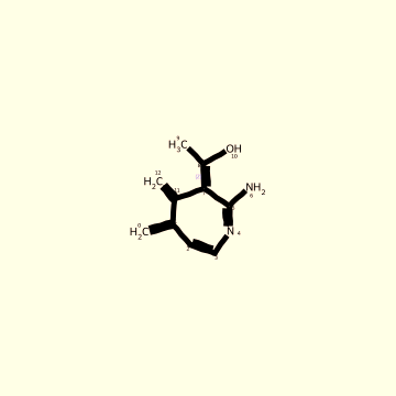 C=C1C=CN=C(N)/C(=C(/C)O)C1=C